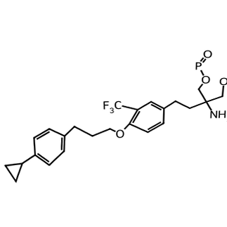 NC(CO)(CCc1ccc(OCCCc2ccc(C3CC3)cc2)c(C(F)(F)F)c1)COP=O